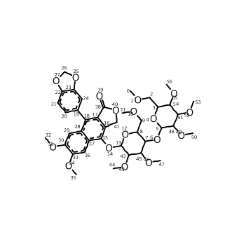 COCC1OC(OC2C(COC)OC(Oc3c4c(c(-c5ccc6c(c5)OCO6)c5cc(OC)c(OC)cc35)C(=O)OC4)C(OC)C2OC)C(OC)C(OC)C1OC